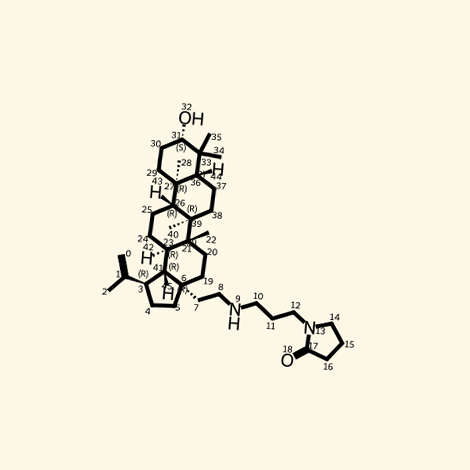 C=C(C)[C@@H]1CC[C@]2(CCNCCCN3CCCC3=O)CC[C@]3(C)[C@H](CC[C@@H]4[C@@]5(C)CC[C@H](O)C(C)(C)[C@@H]5CC[C@]43C)[C@@H]12